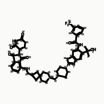 CC(C)(O)c1cc2nc([C@H]3CC[C@H](CN4CCC5(CC4)CC(CNc4cccc6c4C(=O)N(C4CCC(=O)NC4=O)C6=O)C5)CC3)sc2cc1NC(=O)c1cccc(C(F)(F)F)n1